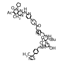 CC(=O)c1c(C)c2cnc(Nc3ccc(N4CCN(C(=O)Cn5cc(CC(=O)NC(C(=O)N6C[C@H](O)C[C@H]6C(=O)NCc6ccc(-c7scnc7C)cc6)C(C)(C)C)nn5)CC4)cn3)nc2n(C2CCCC2)c1=O